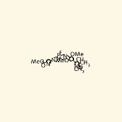 COC(=O)c1ccc(N2CCN(C3CCN(Cc4c(OC)cc(-c5cn(C)c(=O)c(C)c5C)cc4OC)CC3(F)F)CC2)cn1